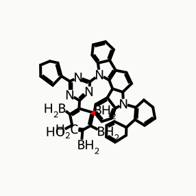 BC(=C)/C(B)=C(B)\C(=C(\B)CO)c1nc(C2=CCCC=C2)nc(-n2c3c(c4ccccc42)C=CC2C3c3ccccc3N2C2=C(C3C=CC=CC3)C=CCC2)n1